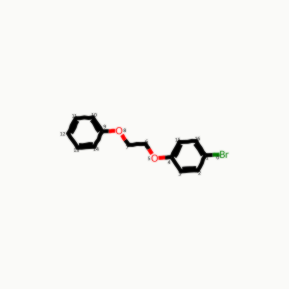 Brc1ccc(OCCOc2ccccc2)cc1